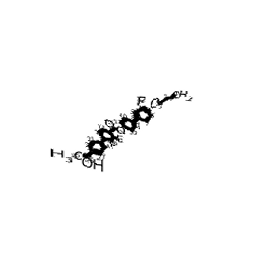 C=CCCOc1ccc(-c2ccc(OC(=O)c3ccc(-c4ccc(C(C)O)cc4)c(F)c3F)cc2)cc1F